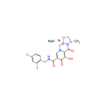 C[C@H]1CO[C@@H]2Cn3cc(C(=O)NCc4ccc(F)cc4F)c(=O)c(O)c3C(=O)N12.[NaH]